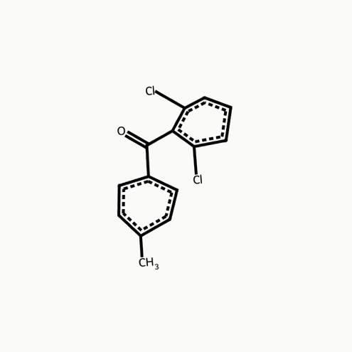 Cc1ccc(C(=O)c2c(Cl)cccc2Cl)cc1